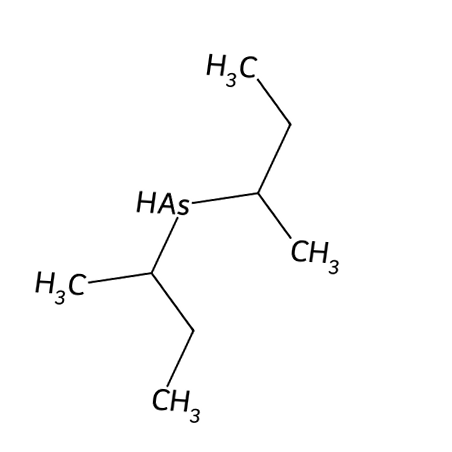 CCC(C)[AsH]C(C)CC